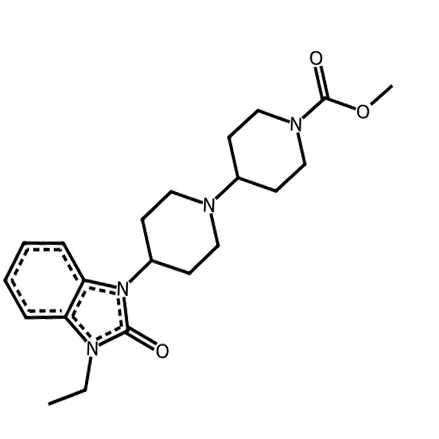 CCn1c(=O)n(C2CCN(C3CCN(C(=O)OC)CC3)CC2)c2ccccc21